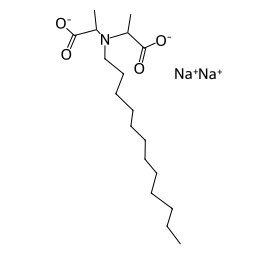 CCCCCCCCCCCCN(C(C)C(=O)[O-])C(C)C(=O)[O-].[Na+].[Na+]